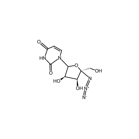 [N-]=[N+]=N[C@]1(CO)OC(n2ccc(=O)[nH]c2=O)[C@H](O)[C@@H]1O